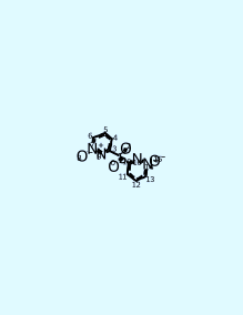 O=S(=O)(c1ccc[n+]([O-])n1)c1ccc[n+]([O-])n1